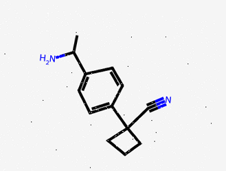 CC(N)c1ccc(C2(C#N)CCC2)cc1